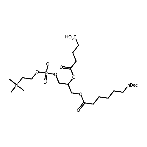 CCCCCCCCCCCCCCCC(=O)OCC(COP(=O)([O-])OCC[N+](C)(C)C)OC(=O)CCCC(=O)O